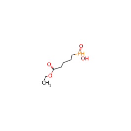 CCOC(=O)CCCC[PH](=O)O